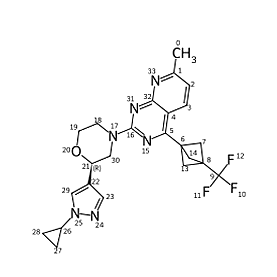 Cc1ccc2c(C34CC(C(F)(F)F)(C3)C4)nc(N3CCO[C@H](c4cnn(C5CC5)c4)C3)nc2n1